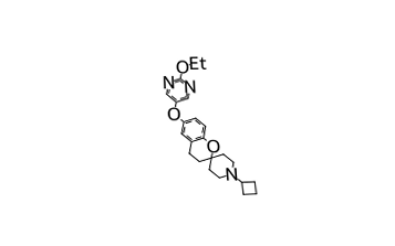 CCOc1ncc(Oc2ccc3c(c2)CCC2(CCN(C4CCC4)CC2)O3)cn1